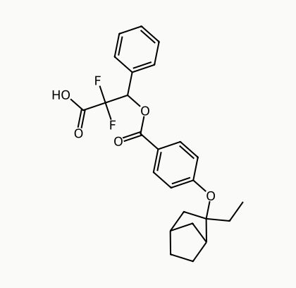 CCC1(Oc2ccc(C(=O)OC(c3ccccc3)C(F)(F)C(=O)O)cc2)CC2CCC1C2